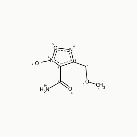 COCc1no[n+]([O-])c1C(N)=O